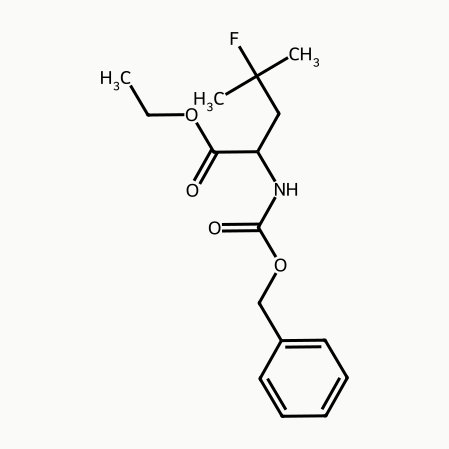 CCOC(=O)C(CC(C)(C)F)NC(=O)OCc1ccccc1